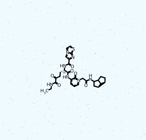 CCNC(=O)C(=O)CC[C@H](NC(=O)c1cn2ccsc2n1)C(=O)Nc1cccn(CC(=O)NC2CC3C4CCC2C43)c1=O